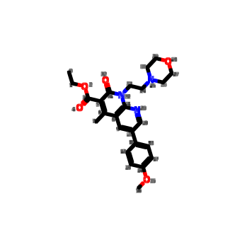 CCOC(=O)c1c(C)c2cc(-c3ccc(OC)cc3)cnc2n(CCN2CCOCC2)c1=O